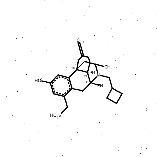 C=C1CC(C)[C@H]2[C@H]3Cc4c(CS(=O)(=O)O)cc(O)cc4[C@@]2(CCN3CC2CCC2)C1